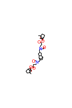 CC12CCC(C(OC(=O)CCN(C=O)CC3CC4C5CC(CN(C=O)CCC(=O)OC6CC7(C)CCC6C7(C)C)C(C5)C4C3)C1)C2(C)C